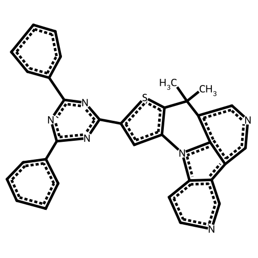 CC1(C)c2sc(-c3nc(-c4ccccc4)nc(-c4ccccc4)n3)cc2-n2c3ccncc3c3cncc1c32